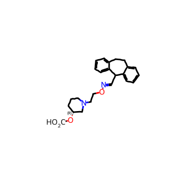 O=C(O)O[C@@H]1CCCN(CCON=CC2c3ccccc3CCc3ccccc32)C1